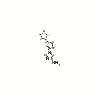 Nc1cn(-c2cn(C3CCCC3)cn2)cn1